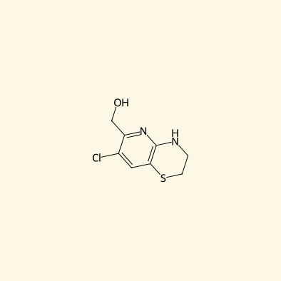 OCc1nc2c(cc1Cl)SCCN2